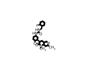 Cc1cc2c(cn1)cc(-c1cc(NC(=O)NCc3ccccc3F)ccc1C)c(=O)n2C